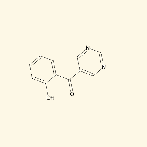 O=C(c1cncnc1)c1ccccc1O